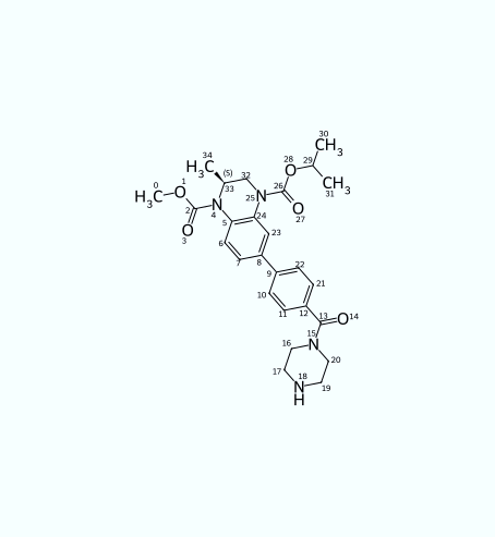 COC(=O)N1c2ccc(-c3ccc(C(=O)N4CCNCC4)cc3)cc2N(C(=O)OC(C)C)C[C@@H]1C